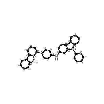 c1ccc(-n2c3ccccc3c3ccc(Nc4ccc(-c5cccc6c5sc5ccccc56)cc4)cc32)cc1